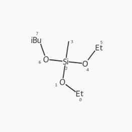 CCO[Si](C)(OCC)OC(C)CC